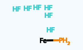 F.F.F.F.F.F.[PH2][Fe]